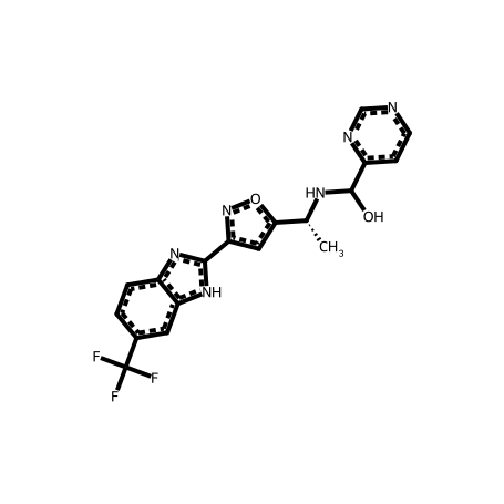 C[C@@H](NC(O)c1ccncn1)c1cc(-c2nc3ccc(C(F)(F)F)cc3[nH]2)no1